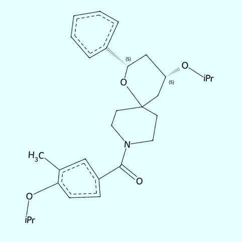 Cc1cc(C(=O)N2CCC3(CC2)C[C@@H](OC(C)C)C[C@@H](c2ccccc2)O3)ccc1OC(C)C